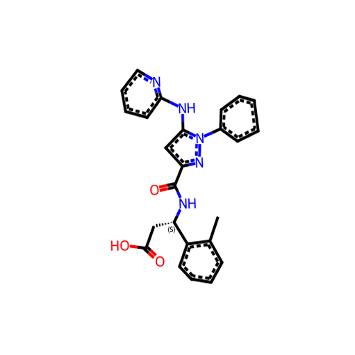 Cc1ccccc1[C@H](CC(=O)O)NC(=O)c1cc(Nc2ccccn2)n(-c2ccccc2)n1